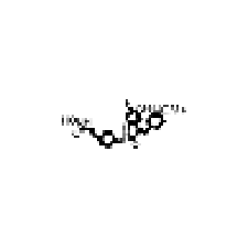 COc1ccc(C=C(C(=O)NCc2ccc(C=CC(=O)NO)cc2)c2ccc(F)cc2)cc1OC